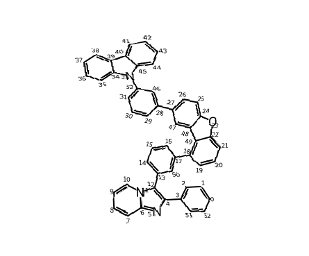 c1ccc(-c2nc3ccccn3c2-c2cccc(-c3cccc4oc5ccc(-c6cccc(-n7c8ccccc8c8ccccc87)c6)cc5c34)c2)cc1